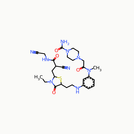 CCN1C(=O)C(CCNc2cccc(N(C)C(=O)CN3CCN(C(N)=O)CC3)c2)SC1CC(C#N)C(=O)NCC#N